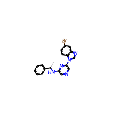 C[C@H](Nc1cncc(-n2cnc3cc(Br)ccc32)n1)c1ccccc1